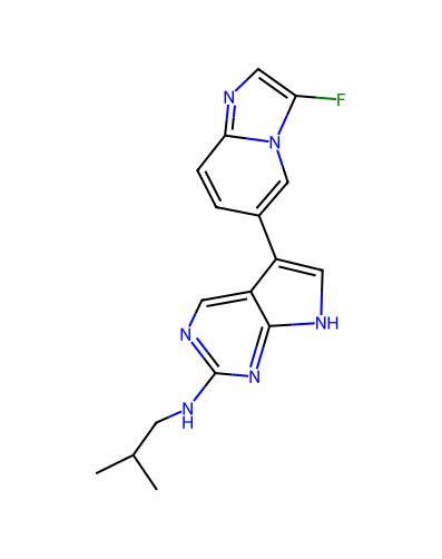 CC(C)CNc1ncc2c(-c3ccc4ncc(F)n4c3)c[nH]c2n1